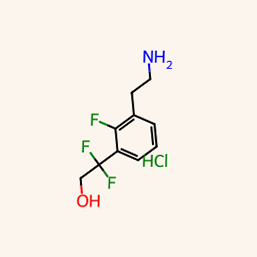 Cl.NCCc1cccc(C(F)(F)CO)c1F